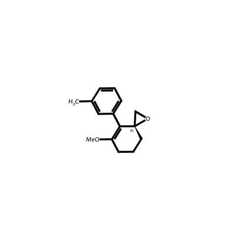 COC1=C(c2cccc(C)c2)[C@]2(CCC1)CO2